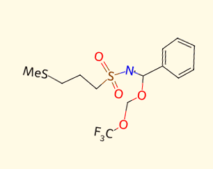 CSCCCS(=O)(=O)[N]C(OCOC(F)(F)F)c1ccccc1